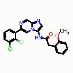 COc1ccccc1CC(=O)Nc1cnc2cnc(-c3cccc(Cl)c3Cl)cn12